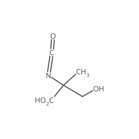 CC(CO)(N=C=O)C(=O)O